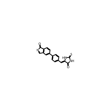 O=C1NC(=S)N/C1=C\c1ccc(-c2ccc3c(c2)C=NC3=O)cc1